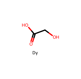 O=C(O)CO.[Dy]